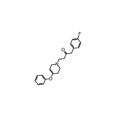 O=C(CCN1CC=C(Oc2ccccc2)CC1)Cc1ccc(F)cc1